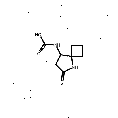 O=C(O)NC1CC(=S)NC12CCC2